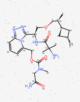 CC[C@H]1C[C@@H]([C@H](C)COC[C@@H](NC(=O)C(C)(C)N)c2nnc3cccc(COC(=O)N(C)CC(N)=O)n23)C1